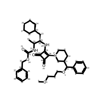 COCCCOC(c1ccccc1)C1CCCN(c2c(N[C@H](CC3CCCCC3)C(C)NC(=O)OCc3ccccc3)c(=O)c2=O)C1